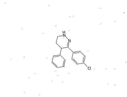 Clc1ccc(C2=NNCCC2c2ccccc2)cc1